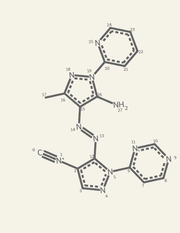 [C-]#[N+]c1cnn(-c2ccncn2)c1/N=N/c1c(C)nn(-c2ccccn2)c1N